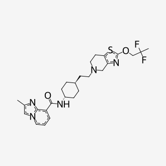 Cc1cn2cccc(C(=O)N[C@H]3CC[C@H](CCN4CCc5sc(OCC(C)(F)F)nc5C4)CC3)c2n1